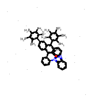 Bc1c(B)c(B)c(-c2ccc3c(-c4ccccc4-n4c(CC)nc5ccccc54)c4ccccc4c(-c4c(B)c(B)c(B)c(B)c4B)c3c2)c(B)c1B